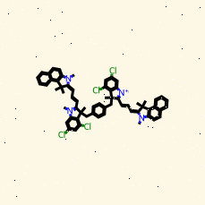 CN1/C(=C/C=C/C2=[N+](C)c3cc(Cl)cc(Cl)c3C2(C)Cc2ccc(CC3(C)C(/C=C/C=C4/N(C)c5ccc6ccccc6c5C4(C)C)=[N+](C)c4cc(Cl)cc(Cl)c43)cc2)C(C)(C)c2c1ccc1ccccc21